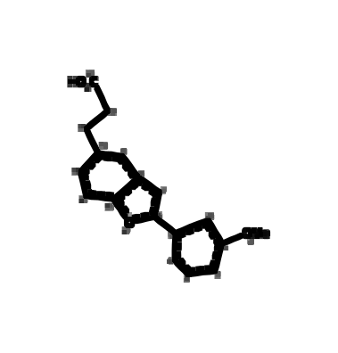 COc1cccc(-c2cc3cc(CCC(=O)O)ccc3o2)c1